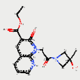 CCOC(=O)c1cc2cccnc2n(CC(=O)N2CC(C)(O)C2)c1=O